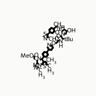 COC(=O)C[C@@H]1N=C(c2ccc(-c3ccc(OCC(=O)NC(C(=O)N4C[C@H](O)C[C@H]4C(=O)N[C@@H](C)c4ccc(-c5scnc5C)cc4)C(C)(C)C)nc3)cc2)c2c(sc(C)c2C)-n2c(C)nnc21